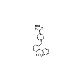 CC(C)(C)OC(=O)N1CCN(Cc2cccc(C(=O)O)c2-c2ccccc2)CC1